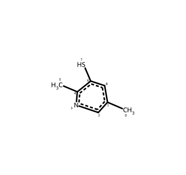 Cc1cnc(C)c(S)c1